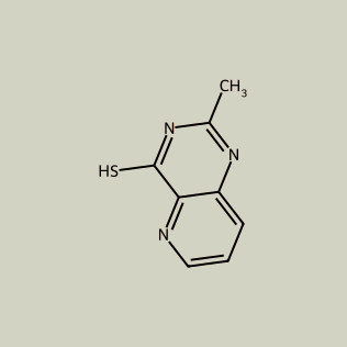 Cc1nc(S)c2ncccc2n1